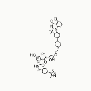 Cc1ncsc1-c1ccc([C@H](C)NC(=O)[C@@H]2C[C@@H](O)CN2C(=O)[C@@H](c2cc(OCCN3CCC(c4ccc5c(c4)C(C)(C)c4nc(=O)c6c(Cl)cccc6n4-5)CC3)no2)C(C)C)cc1